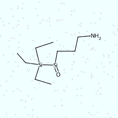 CC[Si](CC)(CC)[Si](=O)CCCN